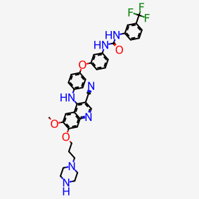 COc1cc2c(Nc3ccc(Oc4cccc(NC(=O)Nc5cccc(C(F)(F)F)c5)c4)cc3)c(C#N)cnc2cc1OCCCN1CCNCC1